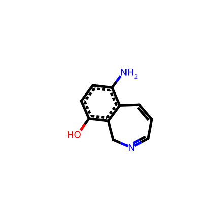 Nc1ccc(O)c2c1C=CC=NC2